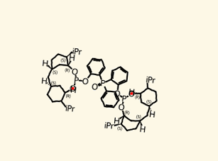 CC(C)C1CC[C@H]2C[C@@H]3CC[C@@H](C(C)C)[C@@H](C3)OP(Oc3ccccc3P(=O)(c3ccccc3)c3ccccc3OP3O[C@@H]4C[C@@H](CCC4C(C)C)C[C@@H]4CC[C@@H](C(C)C)[C@@H](C4)O3)O[C@@H]1C2